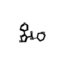 O=C(N[C@H]1CCCNC1)c1c[nH]nc1-c1ccncc1